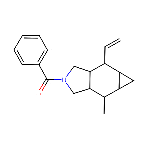 C=CC1C2CC2C(C)C2CN(C(=O)c3ccccc3)CC12